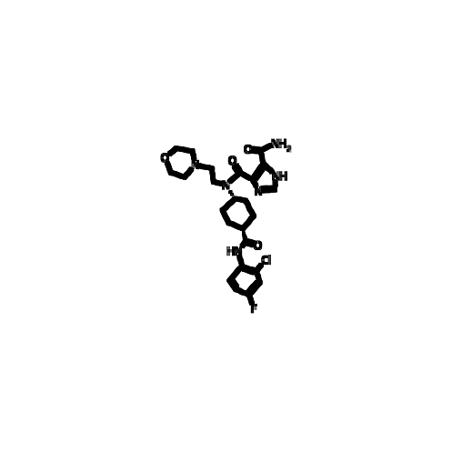 NC(=O)c1[nH]cnc1C(=O)N(CCN1CCOCC1)[C@H]1CC[C@H](C(=O)Nc2ccc(F)cc2Cl)CC1